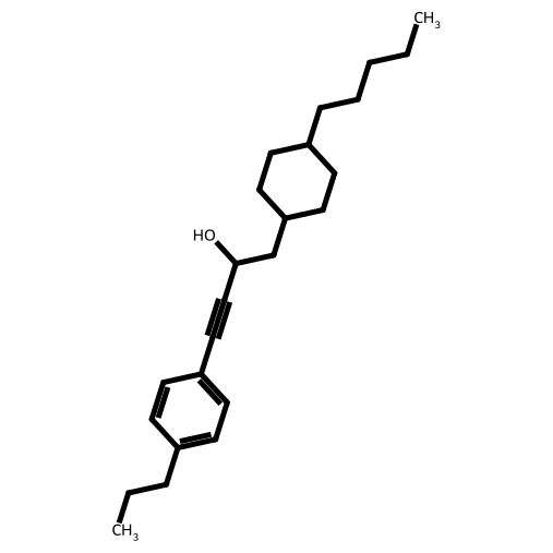 CCCCCC1CCC(CC(O)C#Cc2ccc(CCC)cc2)CC1